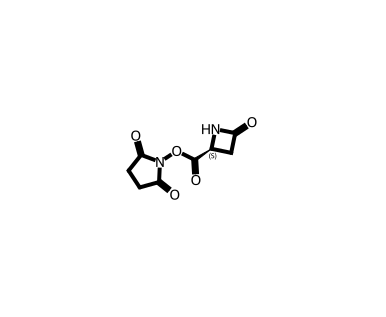 O=C1C[C@@H](C(=O)ON2C(=O)CCC2=O)N1